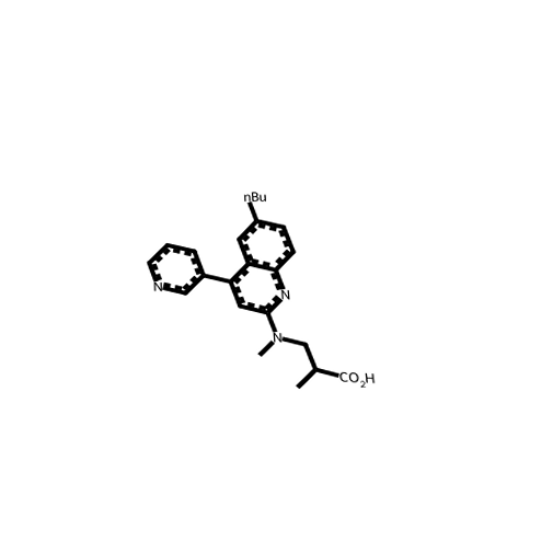 CCCCc1ccc2nc(N(C)CC(C)C(=O)O)cc(-c3cccnc3)c2c1